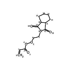 C=CC(=O)OOCCN1C(=O)C2CCCCC2C1=O